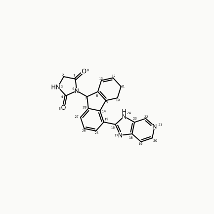 O=C1CNC(=O)N1C1C2=C(CCC=C2)c2c(-c3nc4ccncc4[nH]3)cccc21